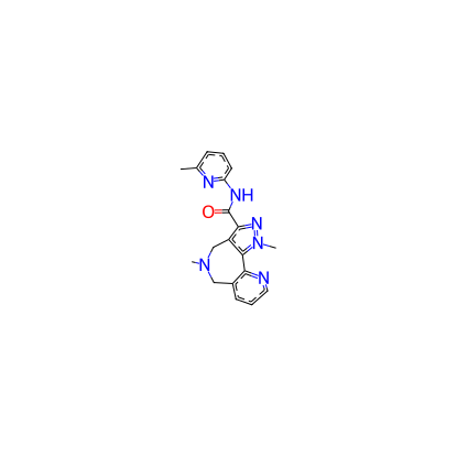 Cc1cccc(NC(=O)c2nn(C)c3c2CN(C)Cc2cccnc2-3)n1